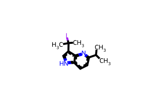 CC(C)c1ccc2[nH]cc(C(C)(C)I)c2n1